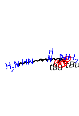 CC(C)(C)OC(=O)C(N)(CCCCNCCCCCCCNCCCCCN)C(=O)OC(C)(C)C